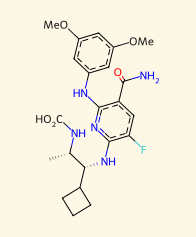 COc1cc(Nc2nc(N[C@H](C3CCC3)[C@H](C)NC(=O)O)c(F)cc2C(N)=O)cc(OC)c1